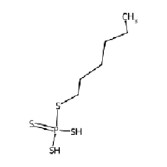 CCCCCCSP(=S)(S)S